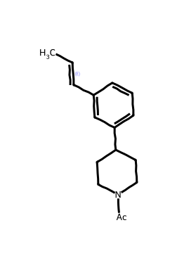 C/C=C/c1cccc(C2CCN(C(C)=O)CC2)c1